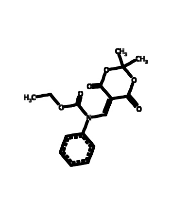 CCOC(=O)N(C=C1C(=O)OC(C)(C)OC1=O)c1ccccc1